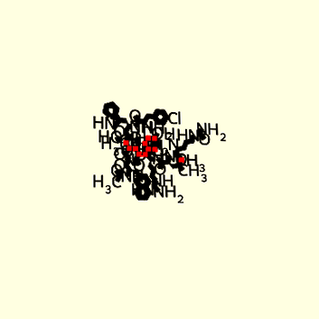 CC(=O)N[C@H](Cc1ccc2ccccc2c1)C(=O)N(C(=O)[C@H](Cc1ccc(O)cc1)NC(=O)[C@H](CO)NC(=O)[C@@H](Cc1c[nH]c2ccccc12)NC(=O)[C@H](N)Cc1ccc(Cl)cc1)C(=O)[C@@H](C)NC(=O)[C@@H]1CCCN1C(=O)[C@H](CCCNC(=N)N)NC(=O)[C@H](CC(C)C)NC(=O)[C@H](N)CCCNC(N)=O